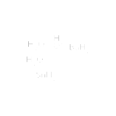 O.O.O.[BaH2].[SnH2]